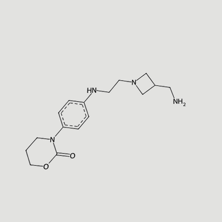 NCC1CN(CCNc2ccc(N3CCCOC3=O)cc2)C1